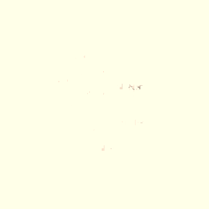 CCCCCCCc1ccc(S(=O)(=O)[O-])c(CCCCCCC)c1CCCCCCC.[Na+]